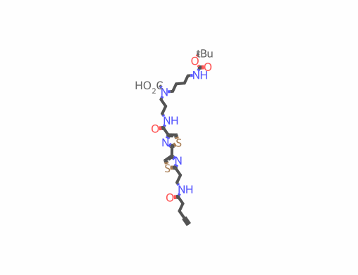 C#CCCC(=O)NCCc1nc(-c2nc(C(=O)NCCCN(CCCCNC(=O)OC(C)(C)C)C(=O)O)cs2)cs1